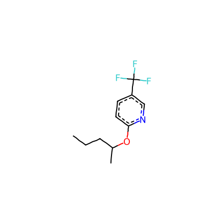 CCCC(C)Oc1ccc(C(F)(F)F)cn1